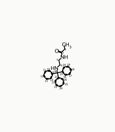 CCC(=O)NCCNC(c1ccccc1)(c1ccccc1)c1ccccc1